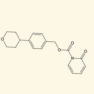 O=C(OCc1ccc(C2CCOCC2)cc1)n1ccccc1=O